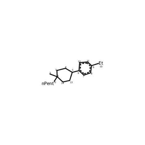 CCCCCC1(C)CCC(c2ccc(CC)cc2)CC1